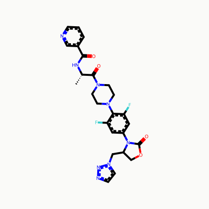 C[C@H](NC(=O)c1cccnc1)C(=O)N1CCN(c2c(F)cc(N3C(=O)OCC3Cn3ccnn3)cc2F)CC1